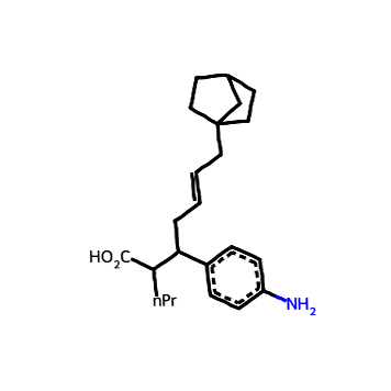 CCCC(C(=O)O)C(CC=CCC12CCC(CC1)C2)c1ccc(N)cc1